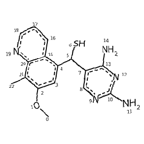 COc1cc(C(S)c2cnc(N)nc2N)c2cccnc2c1C